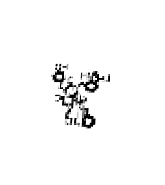 C=CCN1CC(=O)N2[C@@H](Cc3ccc(O)cc3)C(=O)N(Cc3cccc4c(Cl)c[nH]c34)C[C@@H]2N1C(=O)NCc1ccccc1